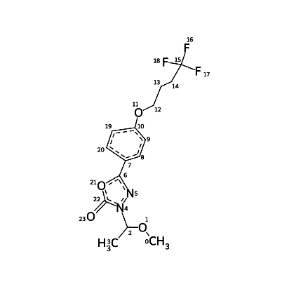 COC(C)n1nc(-c2ccc(OCCCC(F)(F)F)cc2)oc1=O